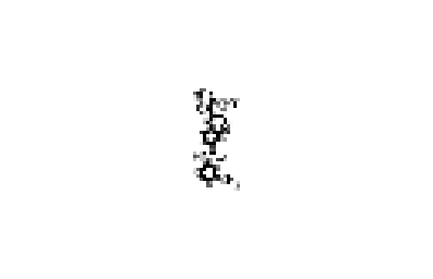 CCCN(CCC)C(=O)C1=Cc2ccc(C(=O)Nc3cccc(C(F)(F)F)c3)cc2N=CC1